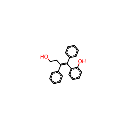 OCC/C(=C(\c1ccccc1)c1ccccc1O)c1ccccc1